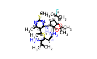 C=C(C)/C(N)=C(\C=C/N)SC(=C)c1c(C)nc(SC)nc1N[C@@H]1C[C@H](C(C)(C)F)[C@H]2OC(C)(C)O[C@H]21